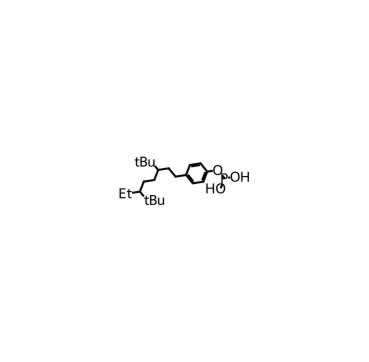 CCC(CCC(CCc1ccc(OP(O)O)cc1)C(C)(C)C)C(C)(C)C